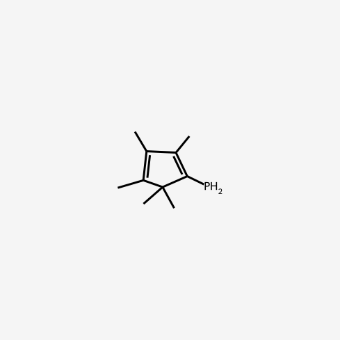 CC1=C(C)C(C)(C)C(P)=C1C